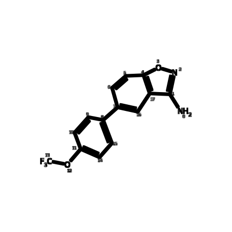 Nc1noc2ccc(-c3ccc(OC(F)(F)F)cc3)cc12